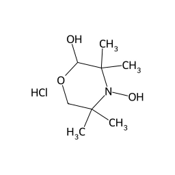 CC1(C)COC(O)C(C)(C)N1O.Cl